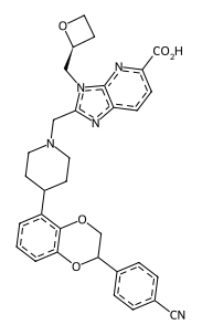 N#Cc1ccc(C2COc3c(cccc3C3CCN(Cc4nc5ccc(C(=O)O)nc5n4C[C@@H]4CCO4)CC3)O2)cc1